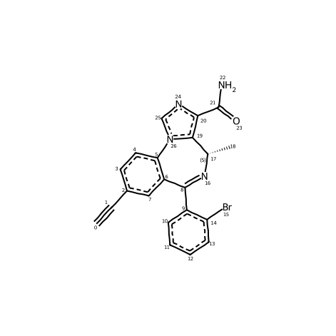 C#Cc1ccc2c(c1)C(c1ccccc1Br)=N[C@@H](C)c1c(C(N)=O)ncn1-2